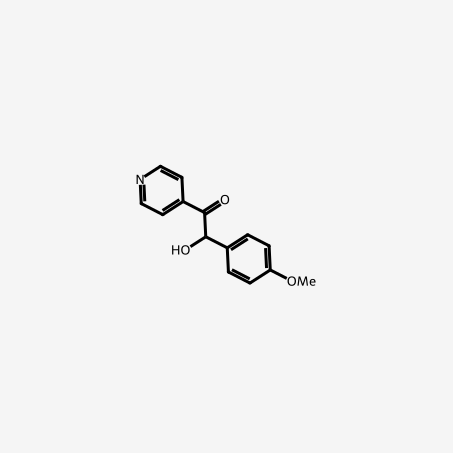 COc1ccc(C(O)C(=O)c2ccncc2)cc1